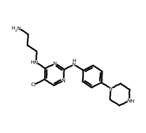 NCCCNc1nc(Nc2ccc(N3CCNCC3)cc2)ncc1Cl